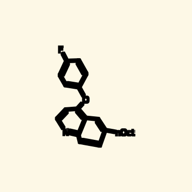 CCCCCCCCc1ccc2nccc(Oc3ccc(F)cc3)c2c1